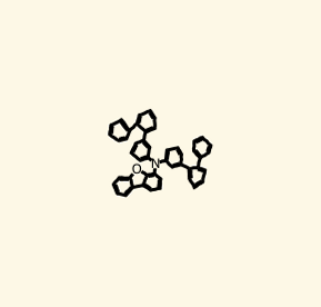 c1ccc(-c2ccccc2-c2cccc(N(c3cccc(-c4ccccc4-c4ccccc4)c3)c3cccc4c3oc3ccccc34)c2)cc1